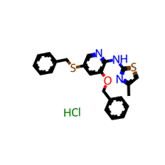 Cc1csc(Nc2ncc(SCc3ccccc3)cc2OCc2ccccc2)n1.Cl